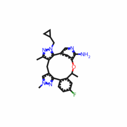 Cc1nn(CC2CC2)c2c1Cc1cn(C)nc1-c1ccc(F)cc1C(C)Oc1cc-2cnc1N